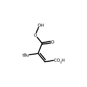 CC(C)(C)C(=CC(=O)O)C(=O)OO